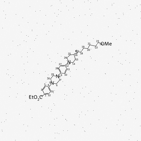 CCOC(=O)c1ccc(N2CCN(c3ccc(N4CCC(SCCCCCCOC)CC4)cc3)CC2)cc1